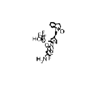 Cc1cc(C#CN2C(=O)CCc3ccccc32)cnc1-n1cnn(CC(CN)=C(F)F)c1=O.O=C(O)C(F)(F)F